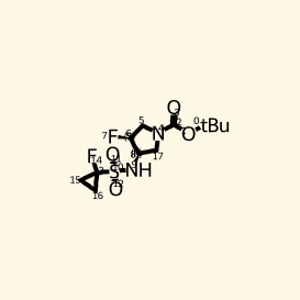 CC(C)(C)OC(=O)N1C[C@H](F)[C@H](NS(=O)(=O)C2(F)CC2)C1